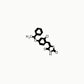 CC(Oc1ccc(/C=C2/SC(=O)NC2=O)c(Cl)c1)c1ccccc1